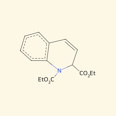 CCOC(=O)C1C=Cc2ccccc2N1C(=O)OCC